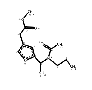 CCCN(C(C)=O)C(C)c1cc(CC(=O)OC)co1